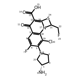 N[C@H]1CCN(c2c(F)cc3c(=O)c(C(=O)O)c4n(c3c2Cl)C(CF)S4)C1